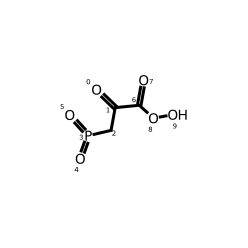 O=C(CP(=O)=O)C(=O)OO